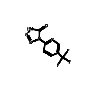 O=c1[nH]nnn1-c1ccc(C(F)(F)F)cn1